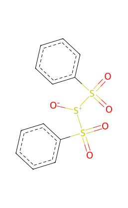 O=S(=O)(c1ccccc1)[S+]([O-])S(=O)(=O)c1ccccc1